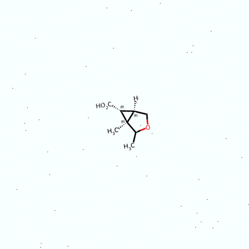 CC1OC[C@@H]2[C@@H](C(=O)O)[C@]12C